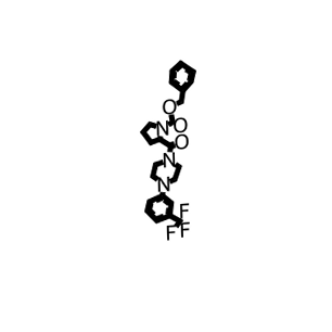 O=C(C1CCCN1C(=O)OCc1ccccc1)N1CCN(c2cccc(C(F)(F)F)c2)CC1